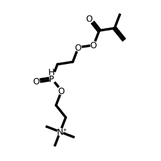 C=C(C)C(=O)OOCC[PH](=O)OCC[N+](C)(C)C